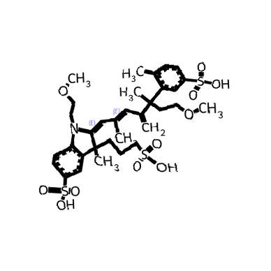 C=C(/C=C(C)/C=C1/N(CCOC)c2ccc(S(=O)(=O)O)cc2C1(C)CCCS(=O)(=O)O)C(C)(CCOC)c1cc(S(=O)(=O)O)ccc1C